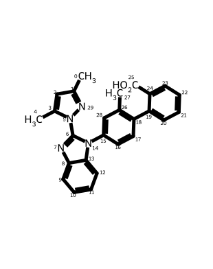 Cc1cc(C)n(-c2nc3ccccc3n2-c2ccc(-c3ccccc3C(=O)O)c(C)c2)n1